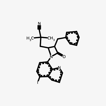 CC(C)(C#N)CC1C(Cc2ccccc2)C(=O)N1c1ccc(I)c2cccnc12